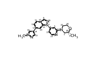 C[C@@H]1CN(c2cc(-n3ncc4ccc(-c5cnn(C)c5)cc43)ccn2)CCO1